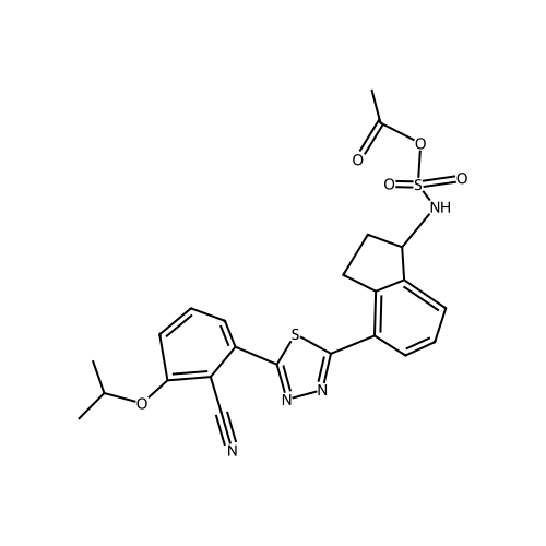 CC(=O)OS(=O)(=O)NC1CCc2c(-c3nnc(-c4cccc(OC(C)C)c4C#N)s3)cccc21